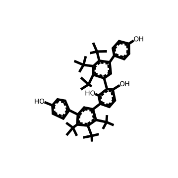 CC(C)(C)c1c(-c2ccc(O)cc2)cc(-c2ccc(O)c(-c3cc(-c4ccc(O)cc4)c(C(C)(C)C)c(C(C)(C)C)c3C(C)(C)C)c2O)c(C(C)(C)C)c1C(C)(C)C